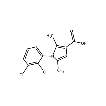 Cc1cc(C(=O)O)c(C)n1-c1cccc(Cl)c1Cl